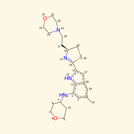 Cc1cc(NC2CCOCC2)c2[nH]c(C3=N[C@@H](CCN4CCOCC4)CS3)cc2c1